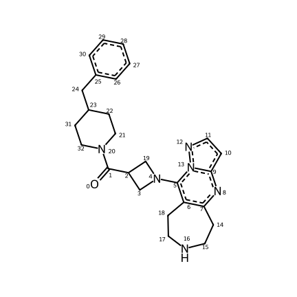 O=C(C1CN(c2c3c(nc4ccnn24)CCNCC3)C1)N1CCC(Cc2ccccc2)CC1